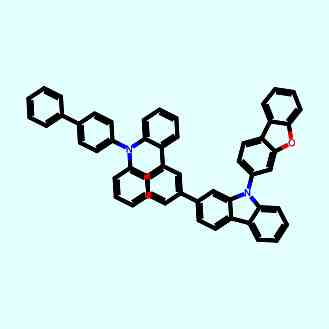 c1ccc(-c2ccc(N(c3ccccc3)c3ccccc3-c3cccc(-c4ccc5c6ccccc6n(-c6ccc7c(c6)oc6ccccc67)c5c4)c3)cc2)cc1